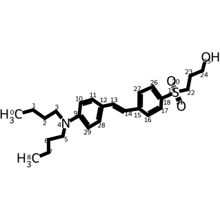 CCCCN(CCCC)c1ccc(C=Cc2ccc(S(=O)(=O)CCCO)cc2)cc1